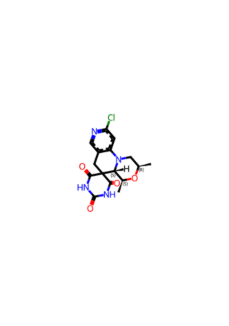 C[C@@H]1CN2c3cc(Cl)ncc3CC3(C(=O)NC(=O)NC3=O)[C@H]2[C@H](C)O1